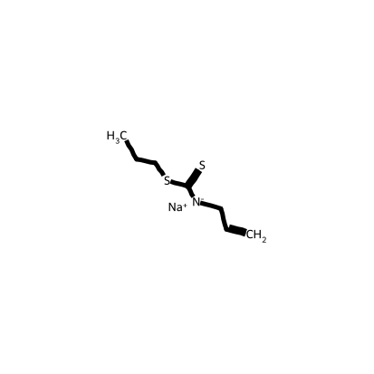 C=CC[N-]C(=S)SCCC.[Na+]